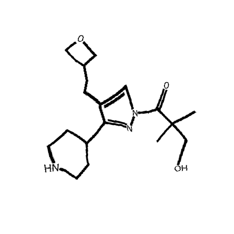 CC(C)(CO)C(=O)n1cc(CC2COC2)c(C2CCNCC2)n1